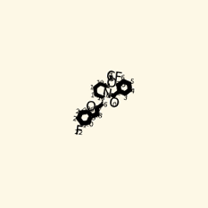 O=C(c1ccccc1OC(F)(F)F)N1CCCC[C@H]1Cc1cc2cc(F)ccc2o1